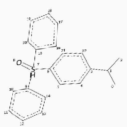 CC(C)c1ccc([SH](=O)(c2ccccc2)c2ccccc2)cc1